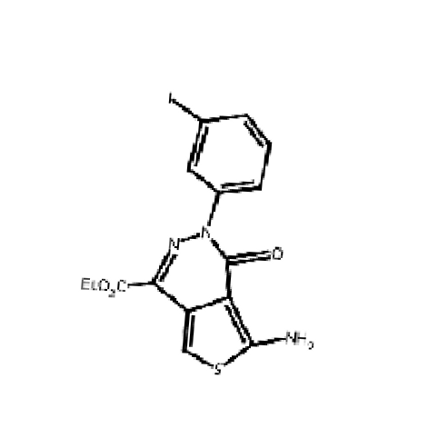 CCOC(=O)c1nn(-c2cccc(I)c2)c(=O)c2c(N)scc12